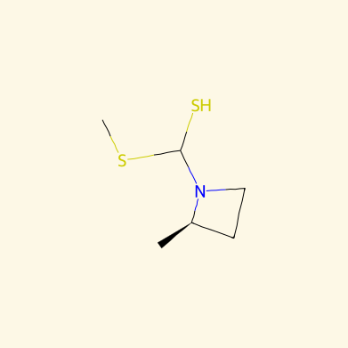 CSC(S)N1CC[C@H]1C